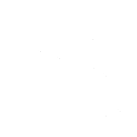 O=C1C([C@@H](O)c2nc(=O)c3cc(I)ccc3[nH]2)OCCN1c1ccn(-c2ccnnc2)n1